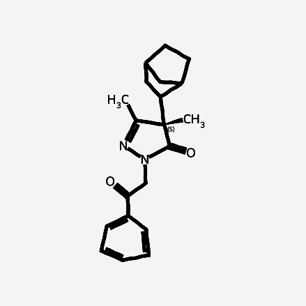 CC1=NN(CC(=O)c2ccccc2)C(=O)[C@@]1(C)C1CC2CCC1C2